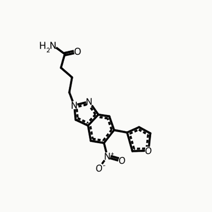 NC(=O)CCCn1cc2cc([N+](=O)[O-])c(-c3ccoc3)cc2n1